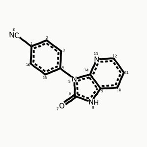 N#Cc1ccc(-n2c(=O)[nH]c3cccnc32)cc1